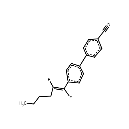 CCCCC(F)=C(F)c1ccc(-c2ccc(C#N)cc2)cc1